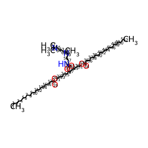 CCCCCCCCCCCCCCCCCCC(=O)OCCCCCC(CCCCCOC(=O)CCCCCCCCCCCCCCCCCC)OC(=O)NCCCN(C)CCCCN(C)C